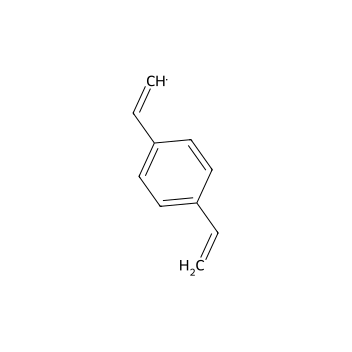 [CH]=Cc1ccc(C=C)cc1